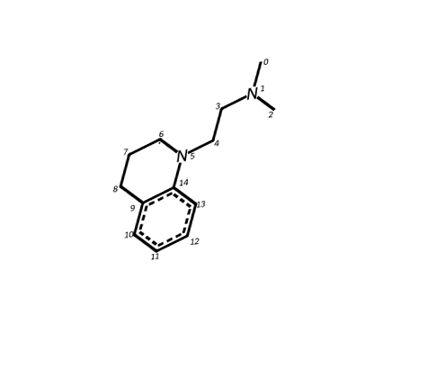 CN(C)CCN1[CH]CCc2ccccc21